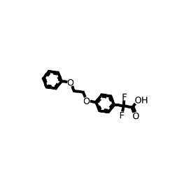 O=C(O)C(F)(F)c1ccc(OCCOc2ccccc2)cc1